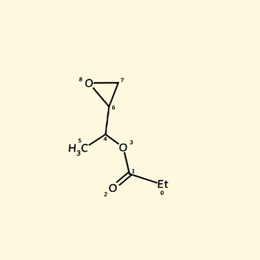 CCC(=O)OC(C)C1CO1